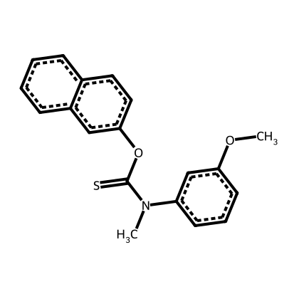 COc1cccc(N(C)C(=S)Oc2ccc3ccccc3c2)c1